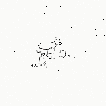 C[C@H]1C=C2C(=O)C=C3C4=C(C(c5ccc(C(F)(F)F)cc5)=C[C@]3(C(=O)SCC#N)[C@@]2(C)C[C@@H]1O)C1=C(C4)OCO1